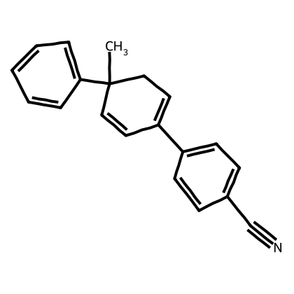 CC1(c2ccccc2)C=CC(c2ccc(C#N)cc2)=CC1